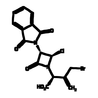 C=C(CBr)[C@@H](C(=O)O)N1C(=O)[C@H](N2C(=O)c3ccccc3C2=O)[C@H]1Cl